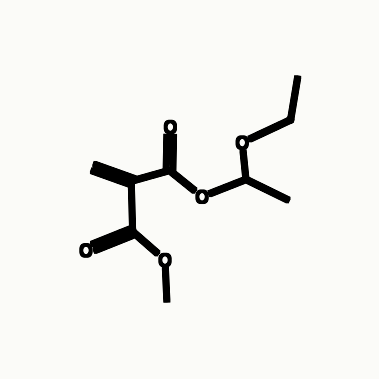 C=C(C(=O)OC)C(=O)OC(C)OCC